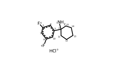 Cl.NC1(c2cc(F)cc(F)c2)CCCCC1